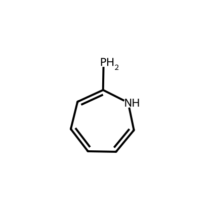 PC1=CC=CC=CN1